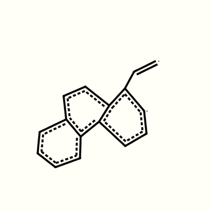 [CH]=Cc1[c]ccc2c1ccc1ccccc12